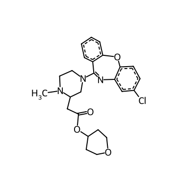 CN1CCN(C2=Nc3cc(Cl)ccc3Oc3ccccc32)CC1CC(=O)OC1CCOCC1